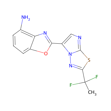 CC(F)(F)c1nn2c(-c3nc4c(N)cccc4o3)cnc2s1